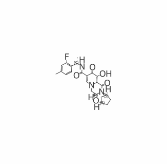 Cc1ccc([C@H](C)NC(=O)c2cn3c(c(O)c2=O)C(=O)N2[C@H]4CC[C@H](C4)O[C@@H]2C3)c(F)c1